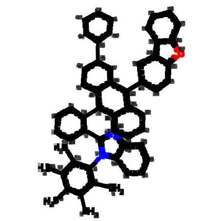 Bc1c(B)c(B)c(-n2c(-c3ccccc3-c3c4ccccc4c(-c4ccc5oc6ccccc6c5c4)c4cc(-c5ccccc5)ccc34)nc3ccccc32)c(B)c1B